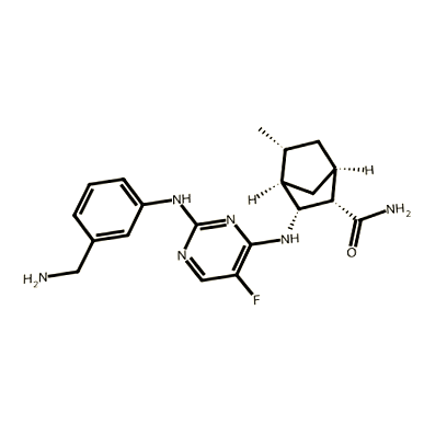 C[C@@H]1C[C@@H]2C[C@H]1[C@@H](Nc1nc(Nc3cccc(CN)c3)ncc1F)[C@H]2C(N)=O